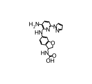 Nc1ccc(-n2cccn2)nc1Nc1ccc2c(c1)OCC2NC(=O)O